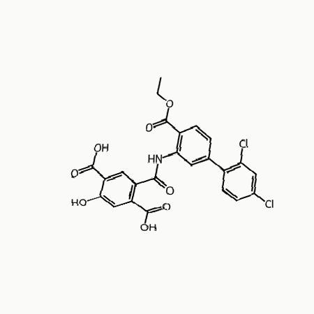 CCOC(=O)c1ccc(-c2ccc(Cl)cc2Cl)cc1NC(=O)c1cc(C(=O)O)c(O)cc1C(=O)O